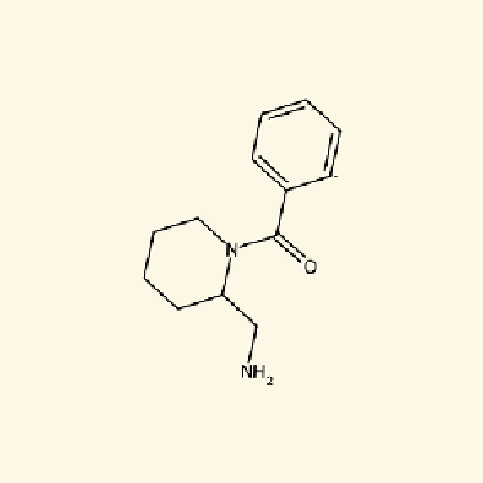 NCC1CCCCN1C(=O)c1[c]cccc1